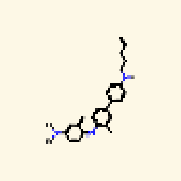 C=CCCCN(C)c1ccc(-c2ccc(/N=C3/C=CC(N(CC)CC)=CC3=C)c(C)c2)cc1